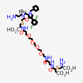 CC(C)(C)[C@H](c1cc(-c2cc(F)ccc2F)cn1Cc1ccccc1)N(CCCN)C(=O)CSC[C@H](NC(=O)CCOCCOCCOCCOCCNC(=O)CCNC(=O)C(CC(=O)O)SC[C@H](N)C(=O)O)C(=O)O